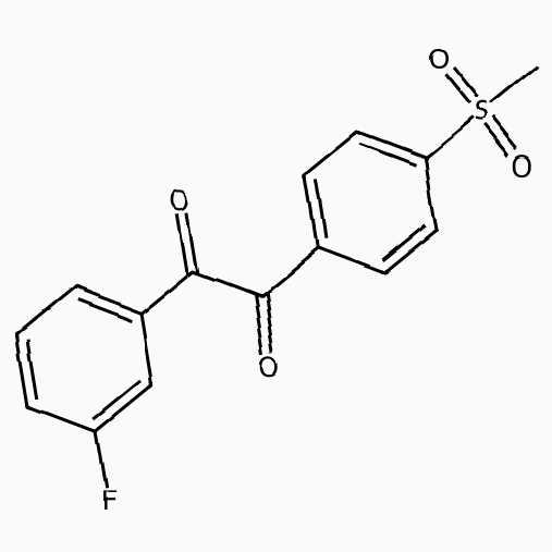 CS(=O)(=O)c1ccc(C(=O)C(=O)c2cccc(F)c2)cc1